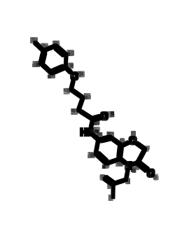 C=C(C)CN1C(=O)COc2cc(NC(=O)CCCOc3ccc(C)cc3)ccc21